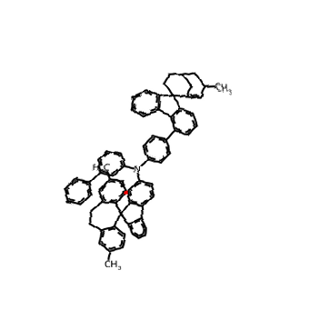 Cc1ccc2c(c1)CCc1cc(C)ccc1C21c2ccccc2-c2ccc(N(c3ccc(-c4cccc5c4-c4ccccc4C54CCC5CC4=CC(C)C5)cc3)c3cccc(-c4ccccc4)c3)cc21